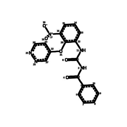 O=C(NC(=O)c1ccccc1)Nc1cccc([N+](=O)[O-])c1Oc1ccnnc1